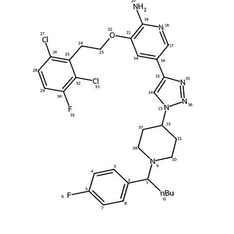 CCCCC(c1ccc(F)cc1)N1CCC(n2cc(-c3cnc(N)c(OCCc4c(Cl)ccc(F)c4Cl)c3)nn2)CC1